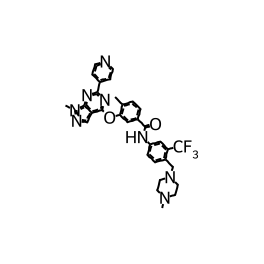 Cc1ccc(C(=O)Nc2ccc(CN3CCN(C)CC3)c(C(F)(F)F)c2)cc1Oc1nc(-c2ccncc2)nc2c1cnn2C